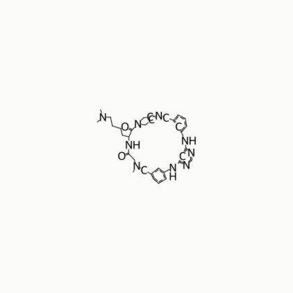 CN(C)CCCCC1NC(=O)CN(C)Cc2cccc(c2)Nc2cc(ncn2)Nc2cccc(c2)CN2CCN(CC2)C1=O